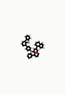 c1ccc(-c2ccccc2N(c2ccc(-c3cccc4c3sc3ccccc34)cc2)c2cccc(-c3cccc4ccccc34)c2)cc1